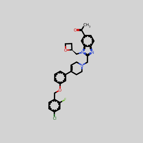 CC(=O)c1ccc2nc(CN3CC=C(c4cccc(OCc5ccc(Cl)cc5F)c4)CC3)n(C[C@@H]3CCO3)c2c1